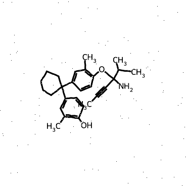 CC#CC(N)(Oc1ccc(C2(c3ccc(O)c(C)c3)CCCCC2)cc1C)C(C)C